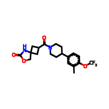 Cc1cc(C2CCN(C(=O)C3CC4(COC(=O)N4)C3)CC2)ccc1OC(F)(F)F